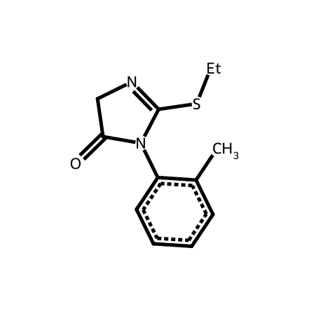 CCSC1=NCC(=O)N1c1ccccc1C